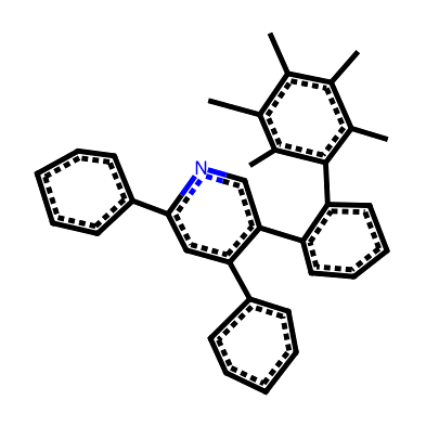 Cc1c(C)c(C)c(-c2ccccc2-c2cnc(-c3ccccc3)cc2-c2ccccc2)c(C)c1C